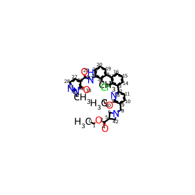 CCOC(=O)C1CN(Cc2ccc(-c3cccc(-c4cccc(NC(=O)c5ccnn(C)c5=O)c4C)c3Cl)nc2OC)C1